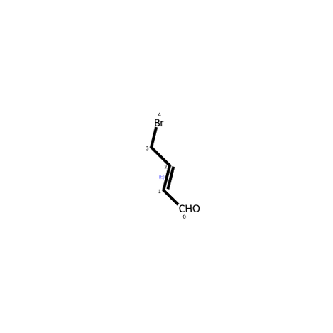 O=C/C=C/CBr